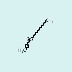 C=Cc1ccc(CCC(=O)OCCCCCCCCCCCCCCCC)cc1